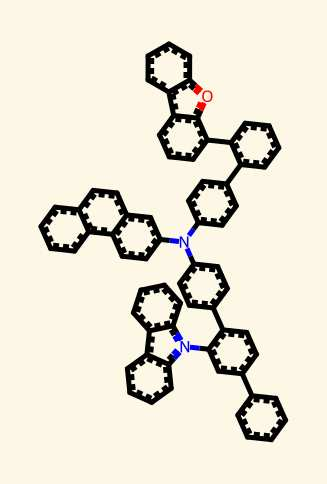 c1ccc(-c2ccc(-c3ccc(N(c4ccc(-c5ccccc5-c5cccc6c5oc5ccccc56)cc4)c4ccc5c(ccc6ccccc65)c4)cc3)c(-n3c4ccccc4c4ccccc43)c2)cc1